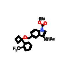 CC(=O)Nc1cn(C(=O)OC(C)(C)C)c2ccc(COC3(c4ccccc4C(F)(F)F)CCC3)cc12